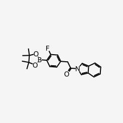 CC1(C)OB(c2ccc(CC(=O)n3cc4ccccc4c3)cc2F)OC1(C)C